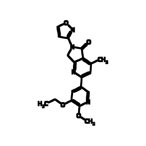 CCOc1cc(-c2cc(C)c3c(n2)CN(c2ccon2)C3=O)cnc1OC